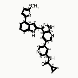 Cc1ccc(-c2cccc3[nH]c(-c4n[nH]c5ncc(-c6cncc(NC(=O)C7CC7)c6)cc45)cc23)s1